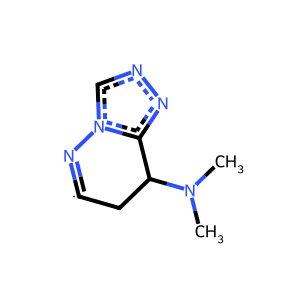 CN(C)C1C[C]=Nn2cnnc21